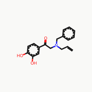 C=CCN(CC(=O)c1ccc(O)c(O)c1)Cc1ccccc1